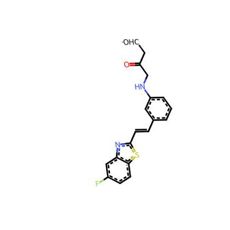 O=[C]CC(=O)CNc1cccc(C=Cc2nc3cc(F)ccc3s2)c1